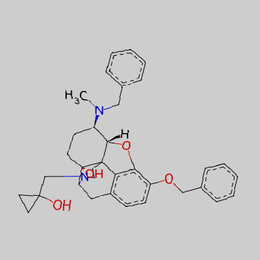 CN(Cc1ccccc1)[C@@H]1CC[C@@]2(O)C3Cc4ccc(OCc5ccccc5)c5c4C2(CCN3CC2(O)CC2)[C@H]1O5